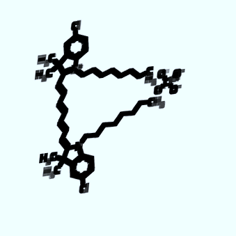 CCCCCCCCN1C(=CC=CC=CC=CC2=[N+](CCCCCCCC)c3ccc(Cl)cc3C2(C)C)C(C)(C)c2cc(Cl)ccc21.[O-][Cl+3]([O-])([O-])[O-]